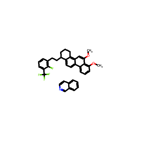 COc1cccc2c1c(OC)cc1c3c(ccc12)C(CCc1cccc(C(F)(F)F)c1F)CCC3.c1ccc2cnccc2c1